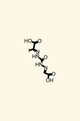 O=C(O)/C=N/NC(=O)N/N=C(\I)C(=O)O